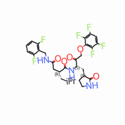 CC(C)C[C@H](CC(=O)NCc1c(F)cccc1F)C(=O)N[C@@H](C[C@@H]1CCNC1=O)C(=O)COc1c(F)c(F)cc(F)c1F